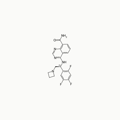 NC(=O)c1cccc2c(N[C@H](CN3CCC3)c3cc(F)c(F)cc3F)ncnc12